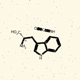 N=C=O.N[C@@H](Cc1c[nH]c2ccccc12)C(=O)O